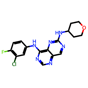 Fc1ccc(Nc2ncnc3cnc(NC4CCOCC4)nc23)cc1Cl